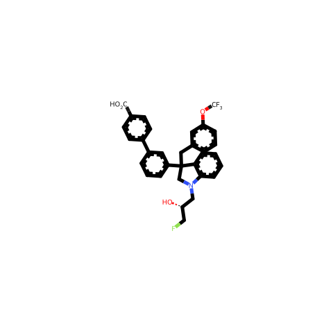 O=C(O)c1ccc(-c2cccc(C3(Cc4cccc(OC(F)(F)F)c4)CN(C[C@@H](O)CF)c4ccccc43)c2)cc1